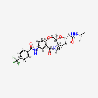 CC(C)NC(=O)C[C@@H]1CC[C@H]2[C@H](COc3ccc(NC(=O)c4ccc(C(F)(F)F)cc4)cc3C(=O)N2C)O1